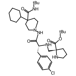 CC(C)(C)NC(=O)C1(C2CCCCC2)CCN(NC(=O)[C@@H](Cc2ccc(Cl)cc2)NC[C@@]2(C(=O)OC(C)(C)C)CCCN2)CC1